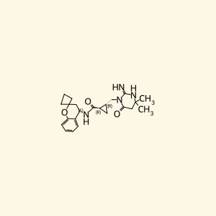 CC1(C)CC(=O)N(C[C@@H]2C[C@H]2C(=O)N[C@H]2CC3(CCC3)Oc3ccccc32)C(=N)N1